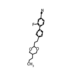 CCCC1COC(CCc2ccc(-c3ccc(C#N)cc3F)cc2)OC1